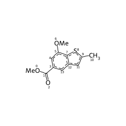 COC(=O)c1cc(OC)c2sc(C)cc2c1